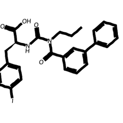 CCCN(C(=O)N[C@@H](Cc1ccc(I)cc1)C(=O)O)C(=O)c1cccc(-c2ccccc2)c1